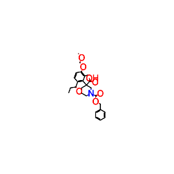 CCC(=O)c1ccc(OCOC)c(C)c1C1(C(=O)O)CCCN(C(=O)OCc2ccccc2)C1